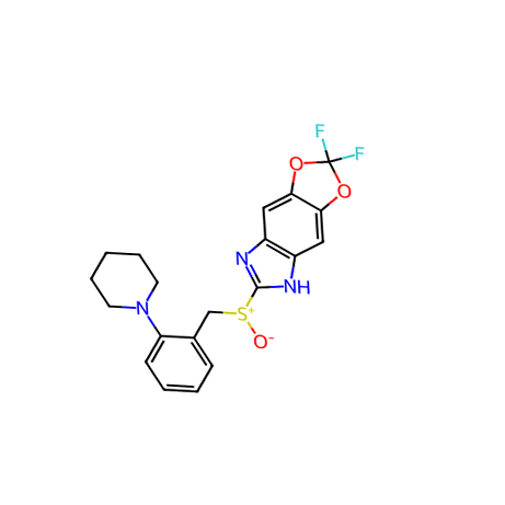 [O-][S+](Cc1ccccc1N1CCCCC1)c1nc2cc3c(cc2[nH]1)OC(F)(F)O3